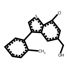 Cc1ccccc1-c1csc2c(Cl)cc(CO)cc12